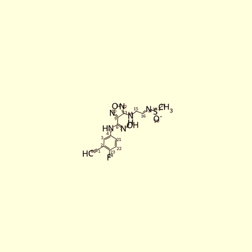 C#Cc1cc(NC(=NO)c2nonc2NCC=N[S+](C)[O-])ccc1F